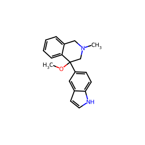 COC1(c2ccc3[nH]ccc3c2)CN(C)Cc2ccccc21